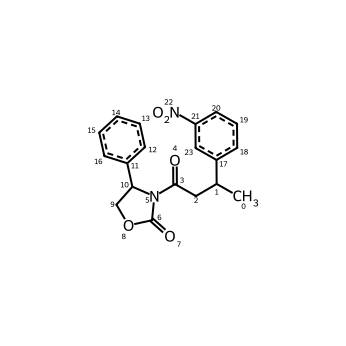 CC(CC(=O)N1C(=O)OCC1c1ccccc1)c1cccc([N+](=O)[O-])c1